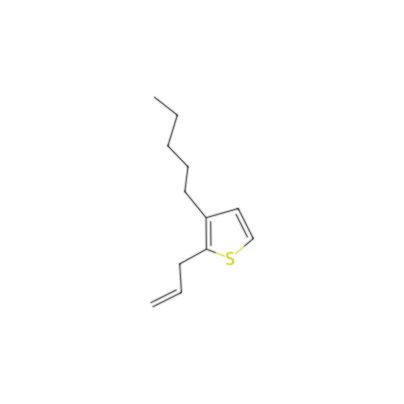 C=CCc1sccc1CCCCC